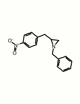 O=[N+]([O-])c1ccc(CC2CN2Cc2ccccc2)cc1